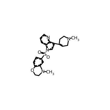 CN1CC=C(c2cn(S(=O)(=O)c3ccc4c(c3)N(C)CCO4)c3cccnc23)CC1